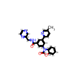 Cc1ccc(-c2cc(C(=O)NCc3cnccn3)cc(-n3c(=O)oc4ccccc43)c2)nc1